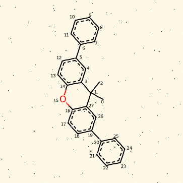 CC1(C)c2cc(-c3ccccc3)ccc2Oc2ccc(-c3ccccc3)cc21